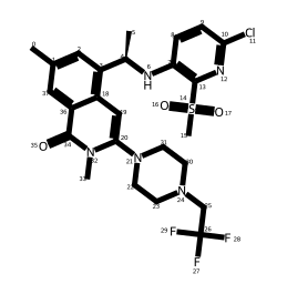 Cc1cc([C@@H](C)Nc2ccc(Cl)nc2S(C)(=O)=O)c2cc(N3CCN(CC(F)(F)F)CC3)n(C)c(=O)c2c1